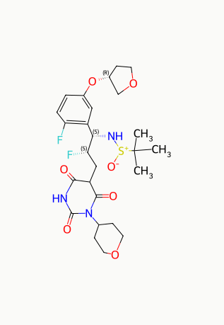 CC(C)(C)[S+]([O-])N[C@@H](c1cc(O[C@@H]2CCOC2)ccc1F)[C@@H](F)CC1C(=O)NC(=O)N(C2CCOCC2)C1=O